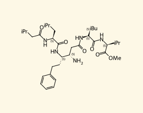 CC[C@H](C)[C@H](NC(=O)C[C@H](N)[C@H](CCc1ccccc1)NC(=O)[C@H](CC(C)C)NC(=O)CC(C)C)C(=O)N[C@H](C(=O)OC)C(C)C